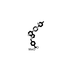 COC(=O)c1ccc(Cn2ccc3c(N4CCN(c5ccc(C)cn5)CC4)ccnc32)cc1